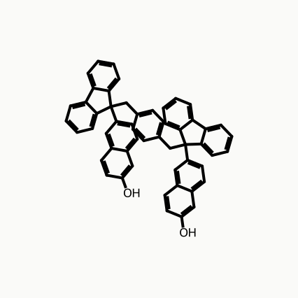 Oc1ccc2cc(C3(Cc4ccc(CC5(c6ccc7cc(O)ccc7c6)c6ccccc6-c6ccccc65)cc4)c4ccccc4-c4ccccc43)ccc2c1